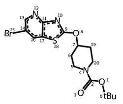 CC(C)(C)OC(=O)N1CCC(Oc2nc3ncc(Br)cc3s2)CC1